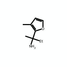 CCC(C)(N)c1occc1C